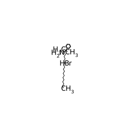 Br.CCCCCCCCCCCCCCCCCC(N)C(C)(C)c1ccccc1